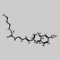 CCCCCOC(C)CCC/C=C/c1cnc2cc(O)ccc2n1